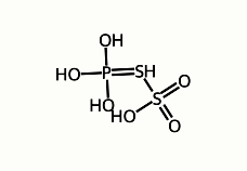 O=S(=O)(O)[SH]=P(O)(O)O